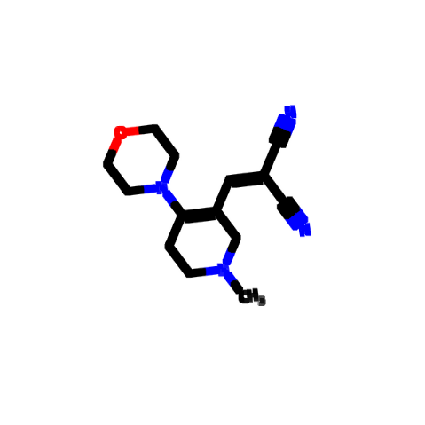 CN1CCC(N2CCOCC2)=C(C=C(C#N)C#N)C1